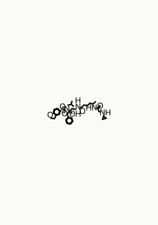 CC(C)CN(C(O)(CCNC(=O)CCCC(C)NC(=O)CNC1CC1)Cc1ccccc1)S(=O)(=O)c1ccc2c(c1)CCO2